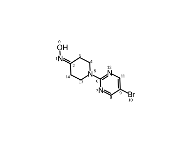 ON=C1CCN(c2ncc(Br)cn2)CC1